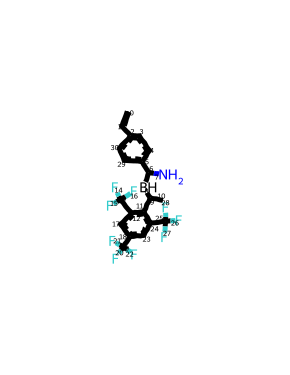 C=Cc1ccc(C(N)BC(C)c2c(C(F)(F)F)cc(C(F)(F)F)cc2C(F)(F)F)cc1